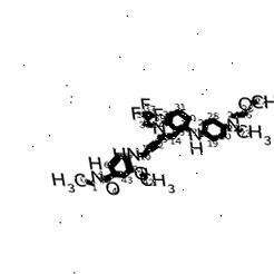 CCNC(=O)c1ccc(NCC#Cc2cc3c(NC4CCC(N(C)CCOC)CC4)cccc3n2CC(F)(F)F)c(OC)c1